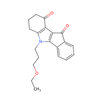 CCOCCCn1c2c(c3c1-c1ccccc1C3=O)C(=O)CCC2